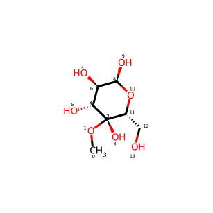 CO[C@]1(O)[C@H](O)[C@@H](O)[C@@H](O)O[C@@H]1CO